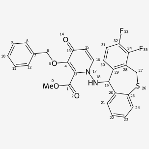 COC(=O)c1c(OCc2ccccc2)c(=O)ccn1NC1c2ccccc2SCc2c1ccc(F)c2F